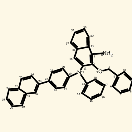 Nc1c(OCc2ccccc2)c(N(c2ccccc2)c2ccc(-c3ccc4ccccc4c3)cc2)cc2ccccc12